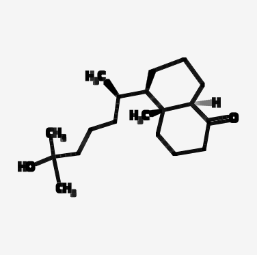 C[C@H](CCCC(C)(C)O)[C@H]1CCC[C@H]2C(=O)CCC[C@]12C